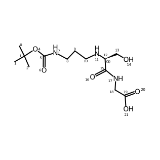 CC(C)(C)OC(=O)NCCCN[C@@H](CO)C(=O)NCC(=O)O